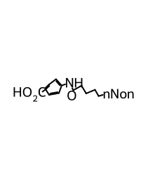 CCCCCCCCCCCCCC(=O)Nc1ccc(C(=O)O)cc1